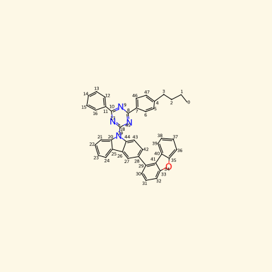 CCCCc1ccc(-c2nc(-c3ccccc3)nc(-n3c4ccccc4c4cc(-c5cccc6oc7ccccc7c56)ccc43)n2)cc1